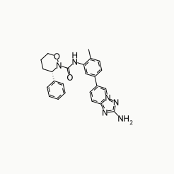 Cc1ccc(-c2ccc3nc(N)nn3c2)cc1NC(=O)N1OCCC[C@H]1c1ccccc1